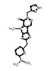 CN(C)c1cccc(Cc2nc3c(s2)c2cnn(Cc4cc[nH]n4)c(=O)c2n3C)n1